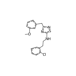 COc1cccc(Cc2nsc(NCCc3ccccc3Cl)n2)c1